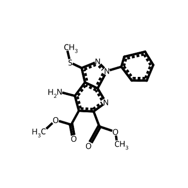 COC(=O)c1nc2c(c(SC)nn2-c2ccccc2)c(N)c1C(=O)OC